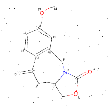 C=C1CC2COC(=O)N2Cc2cc(OC)ccc21